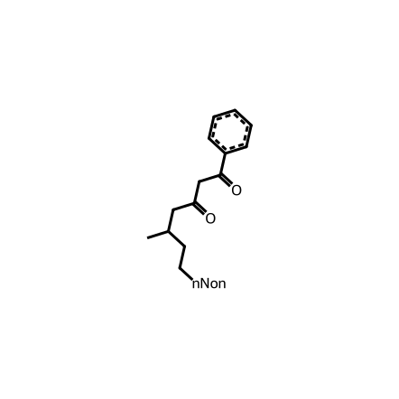 CCCCCCCCCCCC(C)CC(=O)CC(=O)c1ccccc1